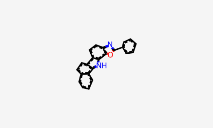 c1ccc(-c2nc3ccc4c5ccc6ccccc6c5[nH]c4c3o2)cc1